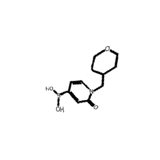 O=c1cc(B(O)O)ccn1CC1CCOCC1